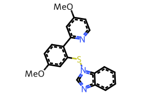 COc1ccnc(-c2ccc(OC)cc2Sn2cnc3ccccc32)c1